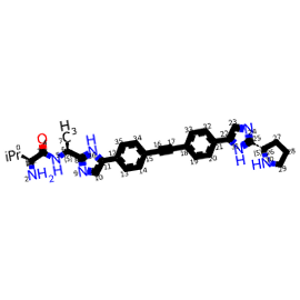 CC(C)[C@H](N)C(=O)N[C@@H](C)c1ncc(-c2ccc(C#Cc3ccc(-c4cnc([C@@H]5CCCN5)[nH]4)cc3)cc2)[nH]1